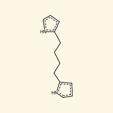 c1c[nH]c(CCCCc2ccc[nH]2)c1